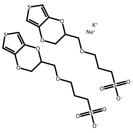 O=S(=O)([O-])CCCOCC1COc2cscc2O1.O=S(=O)([O-])CCCOCC1COc2cscc2O1.[K+].[Na+]